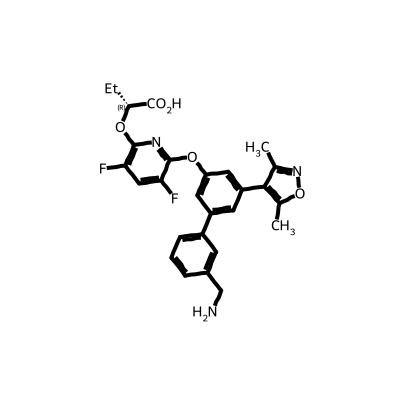 CC[C@@H](Oc1nc(Oc2cc(-c3cccc(CN)c3)cc(-c3c(C)noc3C)c2)c(F)cc1F)C(=O)O